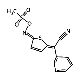 CS(=O)(=O)ON=C1C=CC(=C(C#N)c2ccccc2)S1